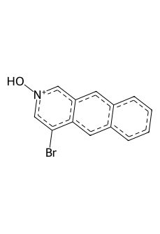 O[n+]1cc(Br)c2cc3ccccc3cc2c1